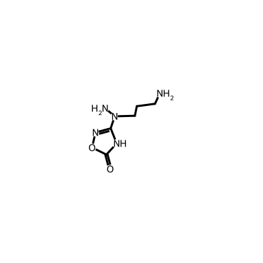 NCCCN(N)c1noc(=O)[nH]1